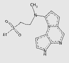 CCS(=O)(=O)CCN(C)c1ccc2cnc3[nH]ccc3n12